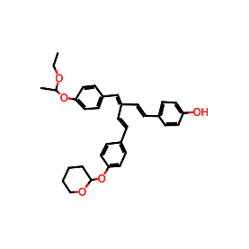 CCOC(C)Oc1ccc(C=C(C=Cc2ccc(O)cc2)C=Cc2ccc(OC3CCCCO3)cc2)cc1